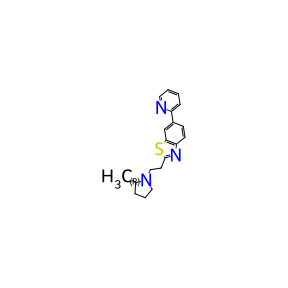 C[C@@H]1CCCN1CCc1nc2ccc(-c3ccccn3)cc2s1